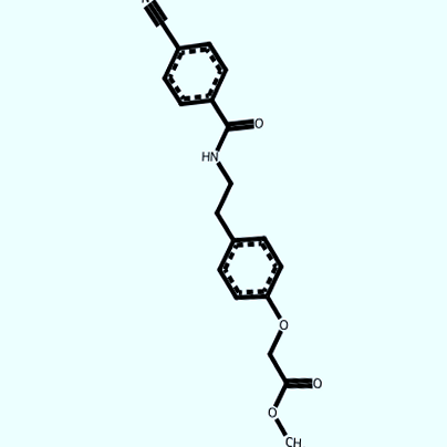 COC(=O)COc1ccc(CCNC(=O)c2ccc(C#N)cc2)cc1